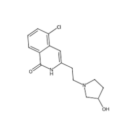 O=c1[nH]c(CCN2CCC(O)C2)cc2c(Cl)cccc12